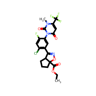 CCOC(=O)C12CCCC1C(c1cc(-n3c(=O)cc(C(F)(F)F)n(C)c3=O)c(F)cc1Cl)=NO2